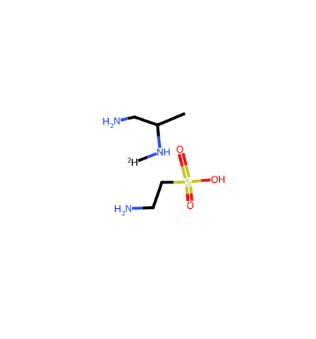 NCCS(=O)(=O)O.[2H]NC(C)CN